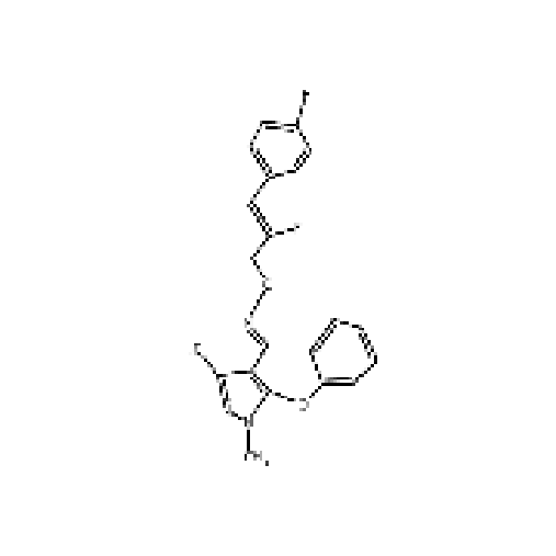 Cc1nn(C)c(Oc2ccccc2)c1C=NOCC(F)=Cc1ccc(F)cc1